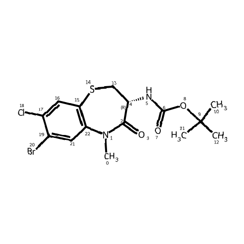 CN1C(=O)[C@@H](NC(=O)OC(C)(C)C)CSc2cc(Cl)c(Br)cc21